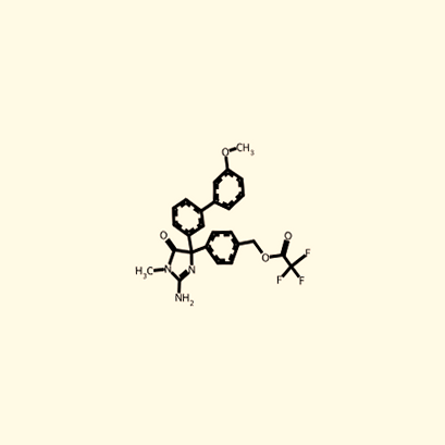 COc1cccc(-c2cccc(C3(c4ccc(COC(=O)C(F)(F)F)cc4)N=C(N)N(C)C3=O)c2)c1